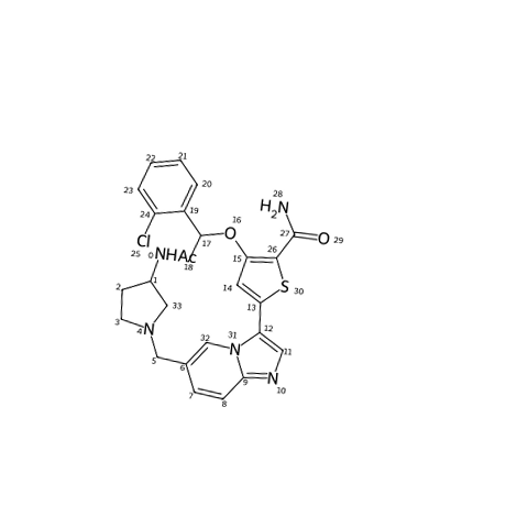 CC(=O)NC1CCN(Cc2ccc3ncc(-c4cc(OC(C)c5ccccc5Cl)c(C(N)=O)s4)n3c2)C1